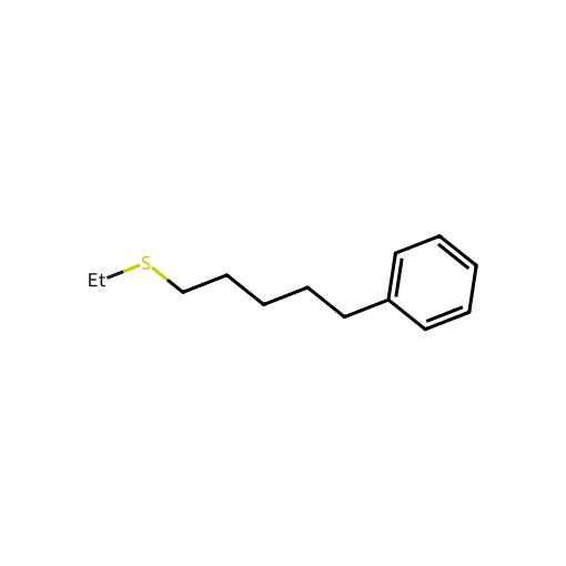 [CH2]CSCCCCCc1ccccc1